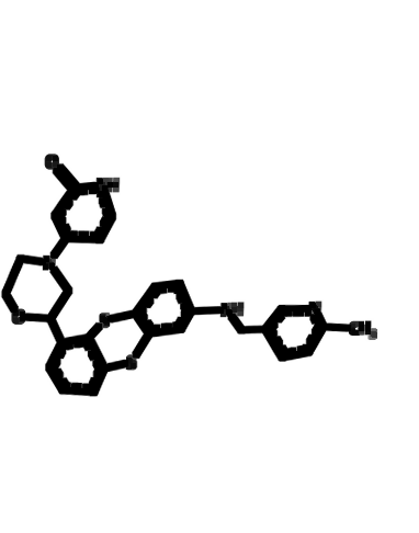 Cc1ccc(CNc2ccc3c(c2)Sc2cccc(C4CN(c5cc[nH]c(=O)c5)CCO4)c2S3)cn1